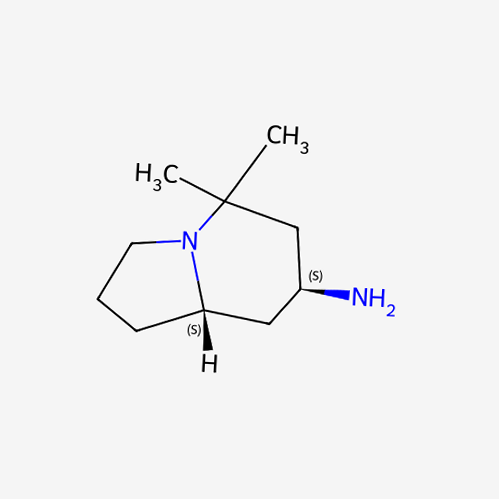 CC1(C)C[C@@H](N)C[C@@H]2CCCN21